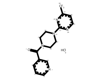 Cl.O=C(c1cccnc1)N1CCN(c2nccc(C(F)(F)F)n2)CC1